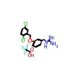 N=C(N)NCc1cccc(OCc2cc(Cl)ccc2Cl)c1.O=C(O)C(F)(F)F